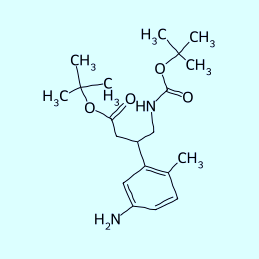 Cc1ccc(N)cc1C(CNC(=O)OC(C)(C)C)CC(=O)OC(C)(C)C